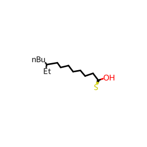 CCCCC(CC)CCCCCCCC(O)=S